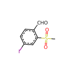 CS(=O)(=O)c1cc(I)ccc1C=O